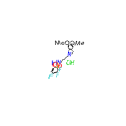 COc1cc2c(cc1OC)CN(CCCCCNS(=O)(=O)c1ccc(F)c(F)c1F)CC2.Cl